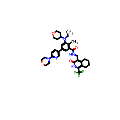 CCN(c1cc(-c2ccc(N3CCOCC3)nc2)cc(C(=O)NCc2c3c(c(C(F)(F)F)[nH]c2=O)CCCC3)c1C)C1CCOCC1